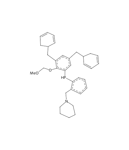 COCOc1c(CC2C=CC=CC2)cc(CC2C=CC=CC2)cc1Pc1ccccc1CN1CCCCC1